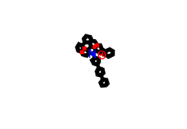 C1=c2cccc(-c3ccccc3)c2=C(c2ccccc2N(c2ccc(-c3ccc(-c4ccccc4)cc3)cc2)c2cccc3c2oc2ccccc23)CC1